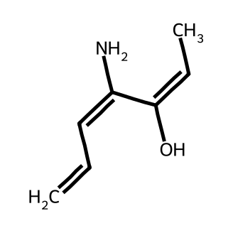 C=C/C=C(N)\C(O)=C/C